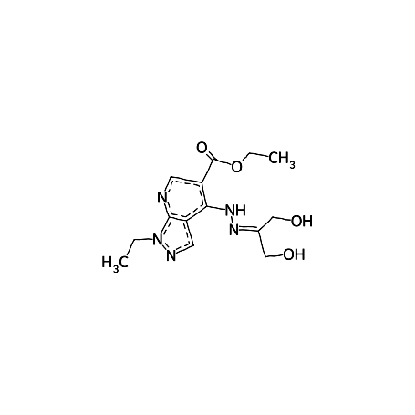 CCOC(=O)c1cnc2c(cnn2CC)c1NN=C(CO)CO